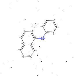 FC(F)(F)c1ccccc1Nc1cccc2ccccc12